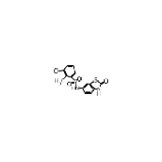 Cc1c(Cl)cccc1S(=O)(=O)Nc1ccc2[nH]c(=O)sc2c1